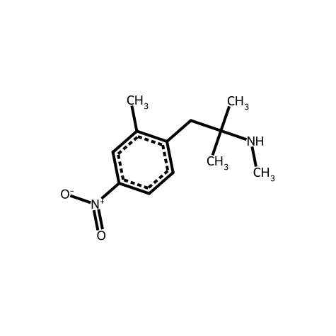 CNC(C)(C)Cc1ccc([N+](=O)[O-])cc1C